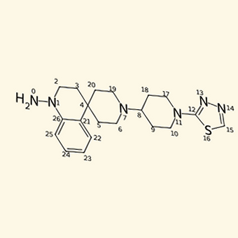 NN1CCC2(CCN(C3CCN(c4nncs4)CC3)CC2)c2ccccc21